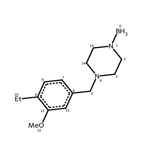 BN1CCN(Cc2ccc(CC)c(OC)c2)CC1